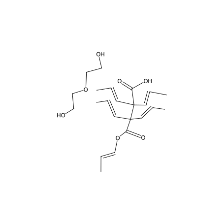 CC=COC(=O)C(C=CC)(C=CC)C(C=CC)(C=CC)C(=O)O.OCCOCCO